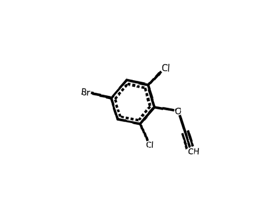 C#COc1c(Cl)cc(Br)cc1Cl